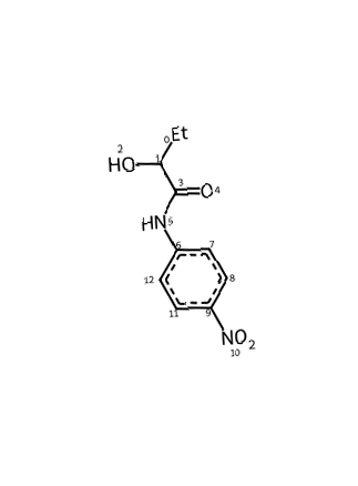 CCC(O)C(=O)Nc1ccc([N+](=O)[O-])cc1